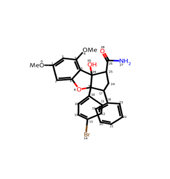 COc1cc(OC)c2c(c1)OC1(c3ccc(Br)cc3)C(c3ccccc3)CC(C(N)=O)C21O